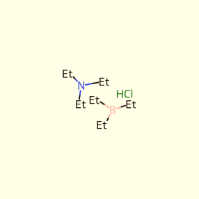 CCB(CC)CC.CCN(CC)CC.Cl